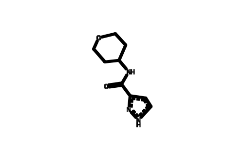 O=C(NC1CCOCC1)c1cc[nH]n1